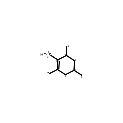 CC1=C(S(=O)(=O)O)C(C)CC(C)C1